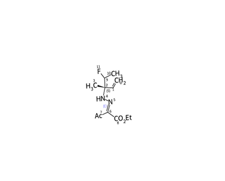 C=C[C@](C)(N/N=C(\C(C)=O)C(=O)OCC)C(C)F